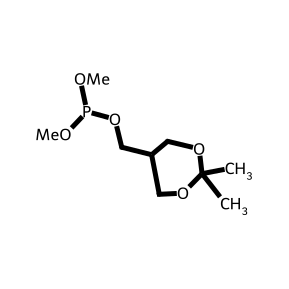 COP(OC)OCC1COC(C)(C)OC1